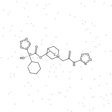 O=C(C[N+]12CCC(CC1)C(OC(=O)[C@](O)(c1ccoc1)C1CCCCC1)C2)Nc1ccon1